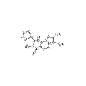 Cc1nc2c3c(ccn2c1C)C(=O)C(O)C(c1ccccc1)N3